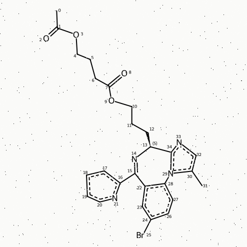 CC(=O)OCCCC(=O)OCCC[C@@H]1N=C(c2ccccn2)c2cc(Br)ccc2-n2c(C)cnc21